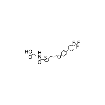 O=C(O)CCNC(=O)c1ccc(CCCOc2ccc(-c3ccc(C(F)(F)F)cc3)cc2)s1